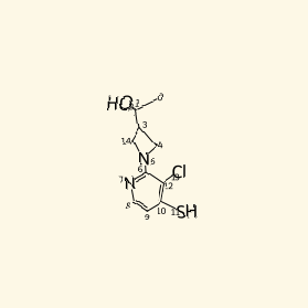 CC(O)C1CN(c2nccc(S)c2Cl)C1